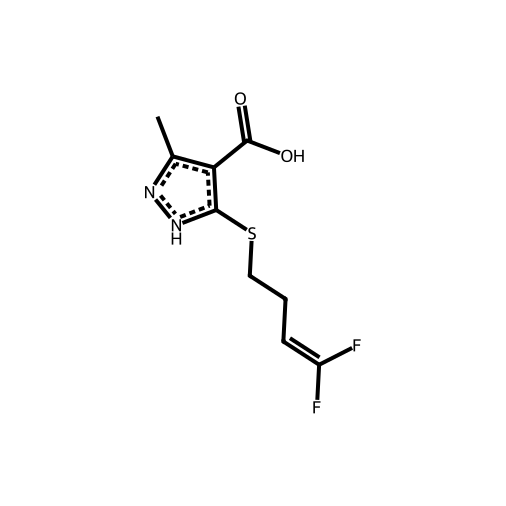 Cc1n[nH]c(SCCC=C(F)F)c1C(=O)O